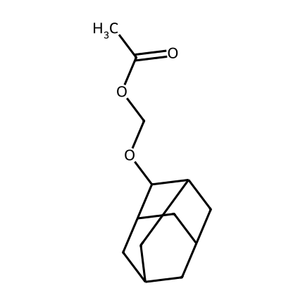 CC(=O)OCOC1C2CC3CC(C2)CC1C3